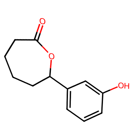 O=C1CCCCC(c2cccc(O)c2)O1